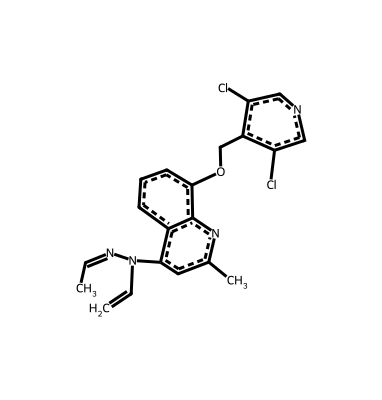 C=CN(/N=C\C)c1cc(C)nc2c(OCc3c(Cl)cncc3Cl)cccc12